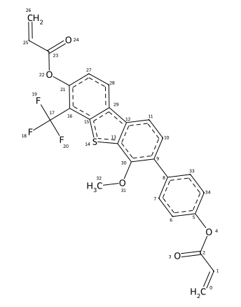 C=CC(=O)Oc1ccc(-c2ccc3c(sc4c(C(F)(F)F)c(OC(=O)C=C)ccc43)c2OC)cc1